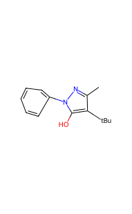 Cc1nn(-c2ccccc2)c(O)c1C(C)(C)C